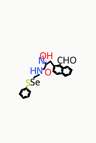 O=Cc1c(C/C(=N\O)C(=O)NCC[Se]Sc2ccccc2)ccc2ccccc12